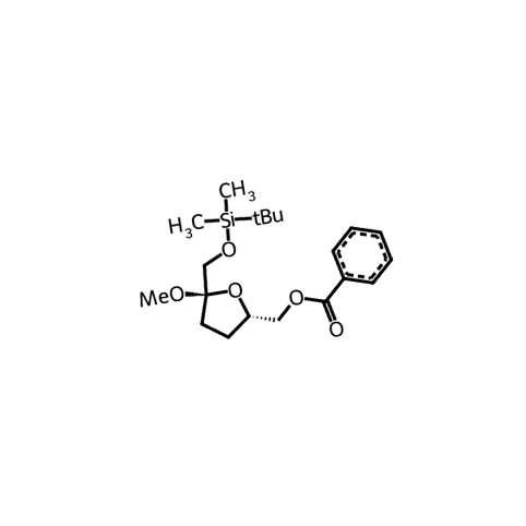 CO[C@]1(CO[Si](C)(C)C(C)(C)C)CC[C@@H](COC(=O)c2ccccc2)O1